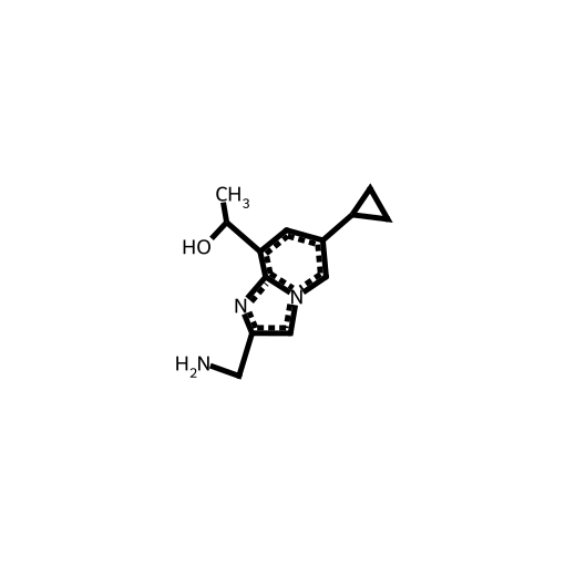 CC(O)c1cc(C2CC2)cn2cc(CN)nc12